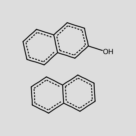 Oc1ccc2ccccc2c1.c1ccc2ccccc2c1